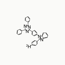 [2H]c1ccc(-c2nc3ccccc3n2-c2ccc(-c3nc(-c4ccccc4)nc(-c4ccccc4)n3)cc2)cc1